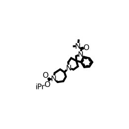 CC(C)OC(=O)N1CCCC(N2CCC3(CC2)CN(C(=O)N(C)C)c2ccccc23)CC1